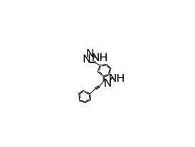 C(#Cc1n[nH]c2ccc(-c3cnn[nH]3)cc12)c1ccccc1